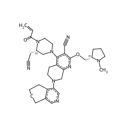 C=CC(=O)N1CCN(c2c(C#N)c(OC[C@@H]3CCCN3C)nc3c2CCN(c2cncc4c2CCCC4)C3)C[C@@H]1CC#N